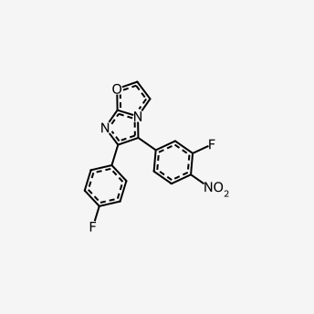 O=[N+]([O-])c1ccc(-c2c(-c3ccc(F)cc3)nc3occn23)cc1F